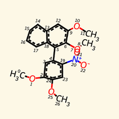 COc1cc(-c2c(OC)c(OC)cc3ccccc23)c([N+](=O)[O-])cc1OC